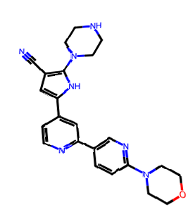 N#Cc1cc(-c2ccnc(-c3ccc(N4CCOCC4)nc3)c2)[nH]c1N1CCNCC1